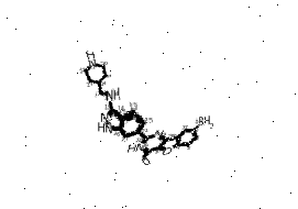 Bc1ccc2oc3c(=O)[nH]c(-c4ccc5c(NCC6CCNCC6)n[nH]c5c4)nc3c2c1